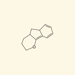 C1=CC2=C3OCCCC3CC2C=C1